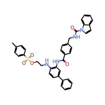 Cc1ccc(S(=O)(=O)OCCNc2ccc(-c3ccccc3)cc2NC(=O)c2ccc(CNC(=O)n3ccc4ccccc43)cc2)cc1